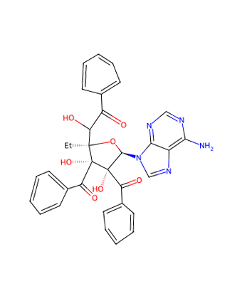 CC[C@]1(C(O)C(=O)c2ccccc2)O[C@@H](n2cnc3c(N)ncnc32)[C@@](O)(C(=O)c2ccccc2)[C@@]1(O)C(=O)c1ccccc1